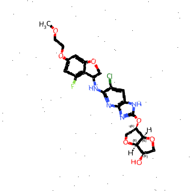 COCCOc1cc(F)c2c(c1)OCC2Nc1nc2nc(O[C@@H]3CO[C@H]4[C@@H]3OC[C@H]4O)[nH]c2cc1Cl